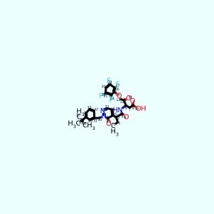 CCC(C(=O)NC(CC(=O)O)C(=O)COc1c(F)c(F)cc(F)c1F)c1ccnn(Cc2cccc(C(C)(C)C)c2)c1=O